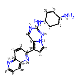 N[C@H]1CC[C@@H](Nc2ncc3c(-c4ccc5ncccc5n4)ccn3n2)CC1